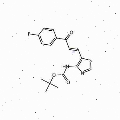 CC(C)(C)OC(=O)Nc1ncsc1/C=C/C(=O)c1ccc(F)cc1